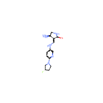 N=C1CNC(=O)/C1=C/Nc1ccc(N2CC[C@H](F)C2)nc1